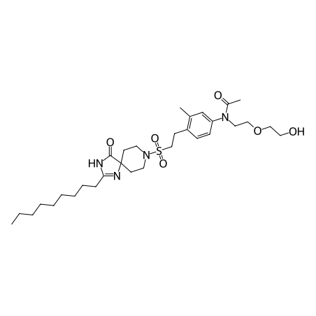 CCCCCCCCCC1=NC2(CCN(S(=O)(=O)CCc3ccc(N(CCOCCO)C(C)=O)cc3C)CC2)C(=O)N1